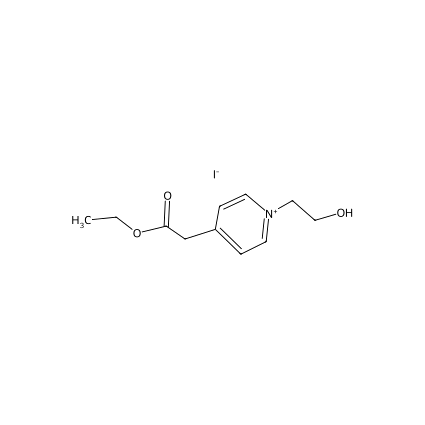 CCOC(=O)Cc1cc[n+](CCO)cc1.[I-]